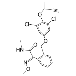 C#CC(C)Oc1c(Cl)cc(OCc2ccccc2/C(=N\OC)C(=O)NC)cc1Cl